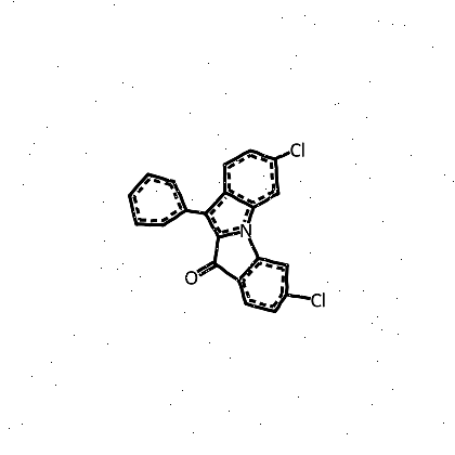 O=C1c2ccc(Cl)cc2-n2c1c(-c1ccccc1)c1ccc(Cl)cc12